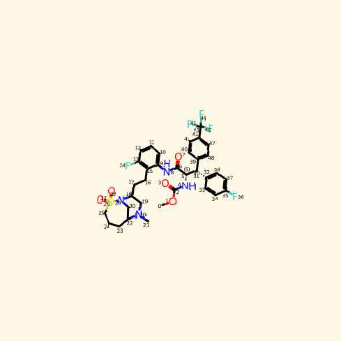 COC(=O)N[C@H](C(=O)Nc1cccc(F)c1CCC1CN(C)C2CCCS(=O)(=O)N1C2)[C@@H](c1ccc(F)cc1)c1ccc(C(F)(F)F)cc1